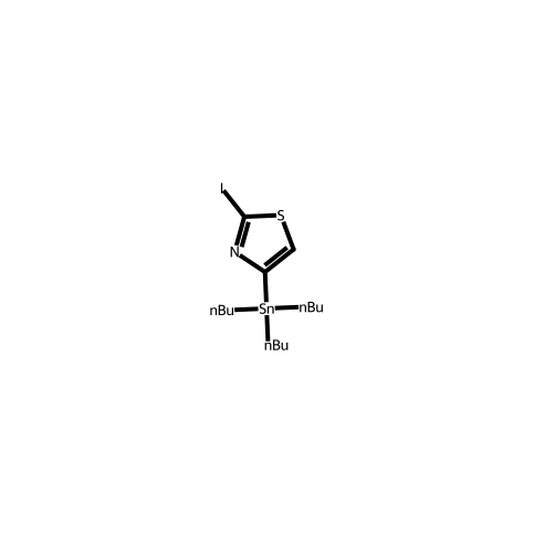 CCC[CH2][Sn]([CH2]CCC)([CH2]CCC)[c]1csc(I)n1